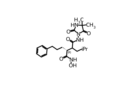 CC(C)CC(C(=O)NN1C(=O)NC(C)(C)C1=O)[C@@H](CCCc1ccccc1)C(=O)NO